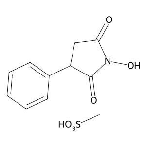 CS(=O)(=O)O.O=C1CC(c2ccccc2)C(=O)N1O